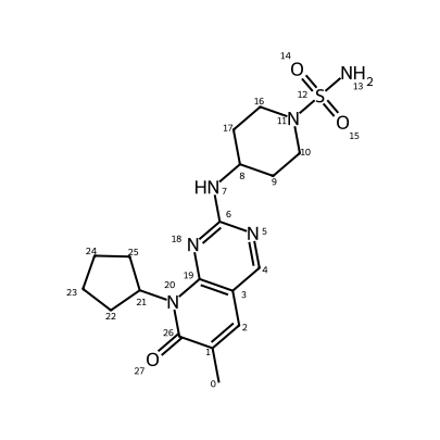 Cc1cc2cnc(NC3CCN(S(N)(=O)=O)CC3)nc2n(C2CCCC2)c1=O